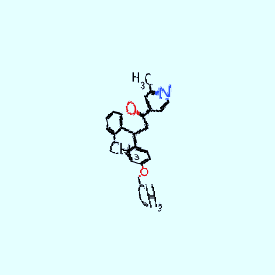 CCOc1ccc(C(CC(=O)c2ccnc(C)c2)c2ccccc2C)cc1